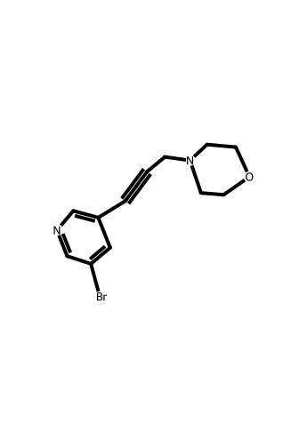 Brc1cncc(C#CCN2CCOCC2)c1